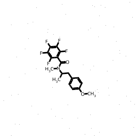 COc1ccc(CC(C)N(C)C(=O)c2c(F)c(F)c(F)c(F)c2F)cc1